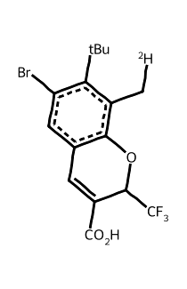 [2H]Cc1c2c(cc(Br)c1C(C)(C)C)C=C(C(=O)O)C(C(F)(F)F)O2